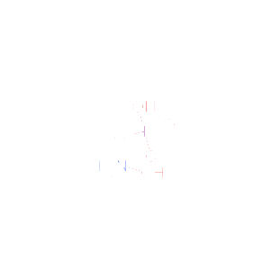 NO.[O-][I+3]([O-])([O-])O